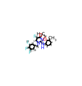 CCOc1c(C)cccc1Nc1nc(=O)c(F)cn1Cc1cc(F)c(F)c(F)c1